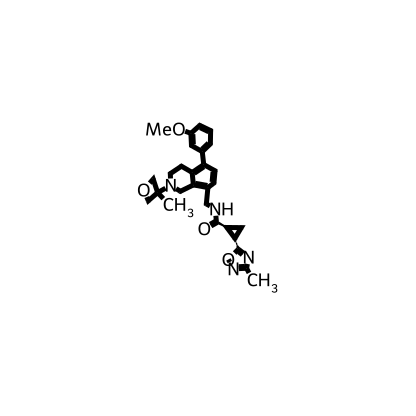 COc1cccc(-c2ccc(CNC(=O)[C@H]3C[C@@H]3c3nc(C)no3)c3c2CCN(C2(C)COC2)C3)c1